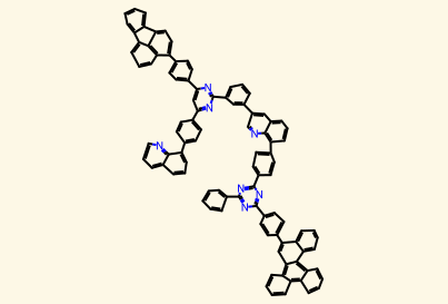 c1ccc(-c2nc(-c3ccc(-c4cc5c6ccccc6c6ccccc6c5c5ccccc45)cc3)nc(-c3ccc(-c4cccc5cc(-c6cccc(-c7nc(-c8ccc(-c9ccc%10c%11c(cccc9%11)-c9ccccc9-%10)cc8)cc(-c8ccc(-c9cccc%10cccnc9%10)cc8)n7)c6)cnc45)cc3)n2)cc1